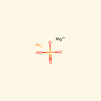 O=P([O-])([O-])O.P.[Mg+2]